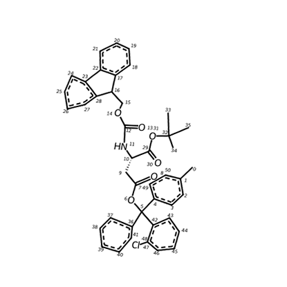 Cc1ccc(C(OC(=O)C[C@H](NC(=O)OCC2c3ccccc3-c3ccccc32)C(=O)OC(C)(C)C)(c2ccccc2)c2ccccc2Cl)cc1